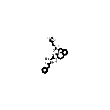 CC[C@H](C)[C@H](NC(=O)Cc1ccccc1)C(=O)N[C@H]1CCc2cccc3c2N(C1=O)[C@H](C(=O)NCc1c[nH]nn1)C3